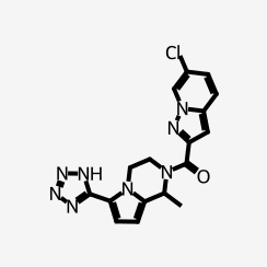 CC1c2ccc(-c3nnn[nH]3)n2CCN1C(=O)c1cc2ccc(Cl)cn2n1